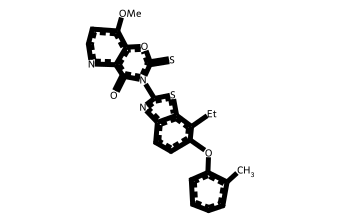 CCc1c(Oc2ccccc2C)ccc2nc(-n3c(=S)oc4c(OC)ccnc4c3=O)sc12